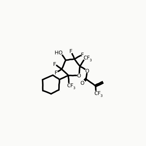 C=C(C(=O)OC1(C(F)(F)F)OC(C2CCCCC2)(C(F)(F)F)C(F)(F)C(O)C1(F)F)C(F)(F)F